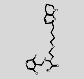 O=C(O)[C@H](CCOCCCCc1ccc2c(n1)NCCC2)NCc1c(F)cncc1Cl